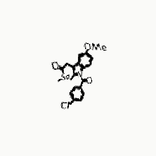 COc1ccc2c(c1)c(CC(=O)[Se]C)c(C)n2C(=O)c1ccc(Cl)cc1